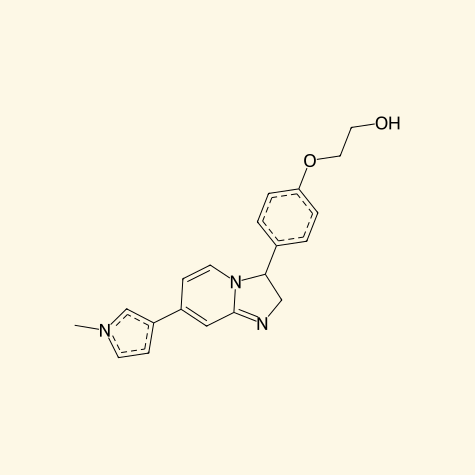 Cn1ccc(C2=CC3=NCC(c4ccc(OCCO)cc4)N3C=C2)c1